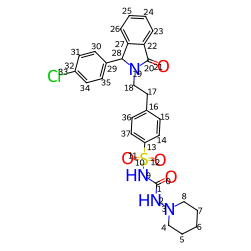 O=C(NN1CCCCC1)NS(=O)(=O)c1ccc(CCN2C(=O)c3ccccc3C2c2ccc(Cl)cc2)cc1